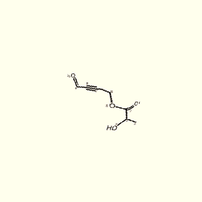 CC(O)C(=O)OCC#CC=O